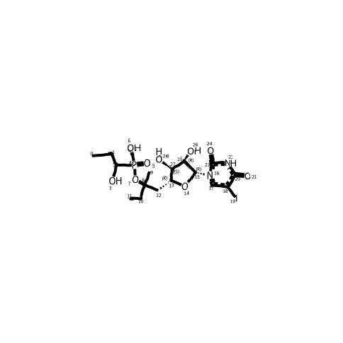 CCC(O)P(=O)(O)OC(C)(CC)C[C@H]1O[C@@H](n2cc(I)c(=O)[nH]c2=O)[C@H](O)[C@@H]1O